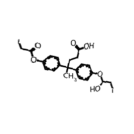 CC(CCC(=O)O)(c1ccc(OC(=O)CI)cc1)c1ccc(OC(O)CI)cc1